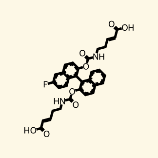 O=C(O)C=CCCNC(=O)Oc1ccc2ccccc2c1-c1c(OC(=O)NCCC=CC(=O)O)ccc2cc(F)ccc12